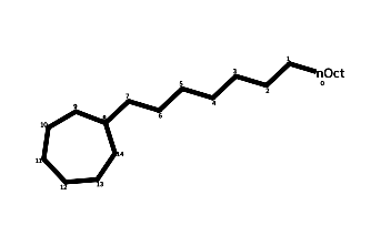 CCCCCCCCCCCCCCC[C]1CCCCCC1